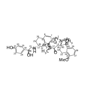 CCCN(CCC)[C@]1([C@@H](Oc2ccc3c(c2)C[C@H](NC[C@@H](O)c2ccc(O)cc2)CC3)C(=O)N(C)C)CCc2c(OC)cccc2[C@@H]1C